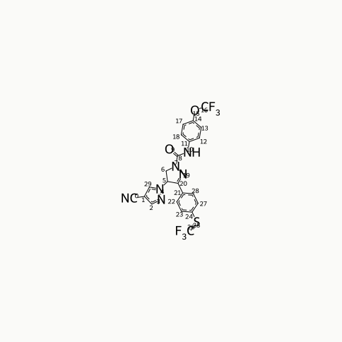 N#Cc1cnn(C2CN(C(=O)Nc3ccc(OC(F)(F)F)cc3)N=C2c2ccc(SC(F)(F)F)cc2)c1